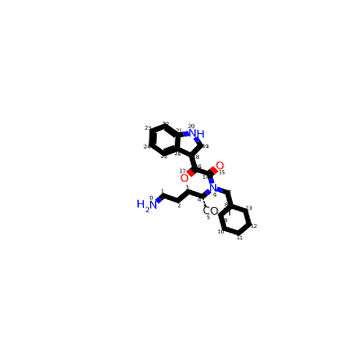 NCCC[C@@H](C(=O)O)N(CC1CCCCC1)C(=O)C(=O)C1CNc2ccccc21